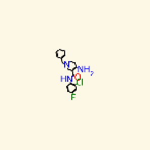 NC1=C(C(=O)Nc2ccc(F)cc2Cl)CN(Cc2ccccc2)CC1